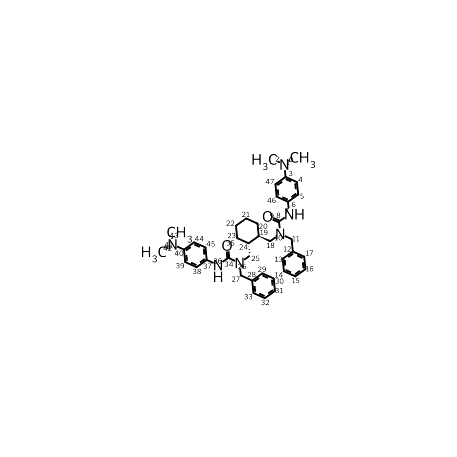 CN(C)c1ccc(NC(=O)N(Cc2ccccc2)C[C@@H]2CCCC[C@H]2CN(Cc2ccccc2)C(=O)Nc2ccc(N(C)C)cc2)cc1